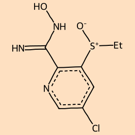 CC[S+]([O-])c1cc(Cl)cnc1C(=N)NO